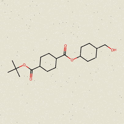 CC(C)(C)OC(=O)C1CCC(C(=O)OC2CCC(CO)CC2)CC1